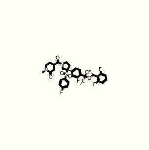 CN1CCC(C(=O)N2CC[C@](c3ccc(C(OCc4c(F)cccc4F)(C(F)(F)F)C(F)(F)F)cc3)(S(=O)(=O)c3ccc(F)cc3)C2)CC1=O